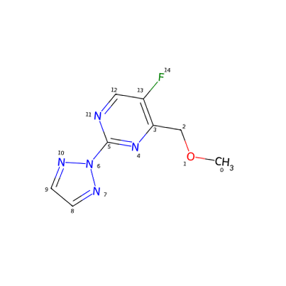 COCc1nc(-n2nccn2)ncc1F